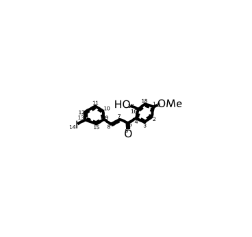 COc1ccc(C(=O)/C=C/c2cccc(I)c2)c(O)c1